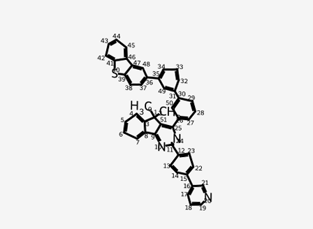 CC1(C)c2ccccc2-c2nc(-c3ccc(-c4cccnc4)cc3)nc(-c3cccc(-c4cccc(-c5ccc6sc7ccccc7c6c5)c4)c3)c21